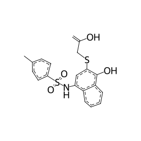 C=C(O)CSc1cc(NS(=O)(=O)c2ccc(C)cc2)c2ccccc2c1O